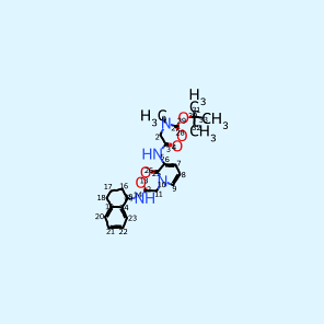 CN(CC(=O)Nc1cccn(CC(=O)N[C@@H]2CCCc3ccccc32)c1=O)C(=O)OC(C)(C)C